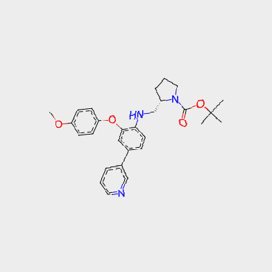 COc1ccc(Oc2cc(-c3cccnc3)ccc2NC[C@@H]2CCCN2C(=O)OC(C)(C)C)cc1